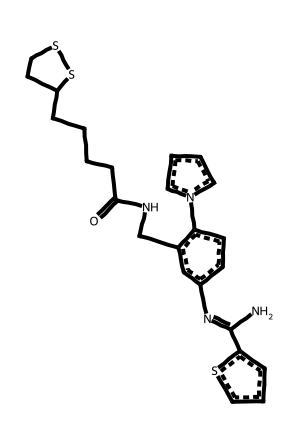 N/C(=N\c1ccc(-n2cccc2)c(CNC(=O)CCCCC2CCSS2)c1)c1cccs1